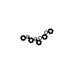 c1ccc(Oc2cccc(Oc3ccccc3Oc3cccc(Oc4ccccc4)c3)c2)cc1